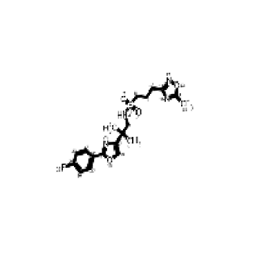 CC(C)(CNS(=O)(=O)CCCc1noc(C(F)(F)F)n1)c1coc(-c2ccc(F)cc2)n1